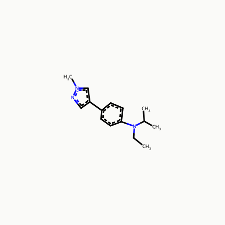 CCN(c1ccc(-c2cnn(C)c2)cc1)C(C)C